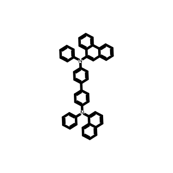 c1ccc(N(c2ccc(-c3ccc(N(c4ccccc4)c4cc5ccccc5c5ccccc45)cc3)cc2)c2cccc3ccccc23)cc1